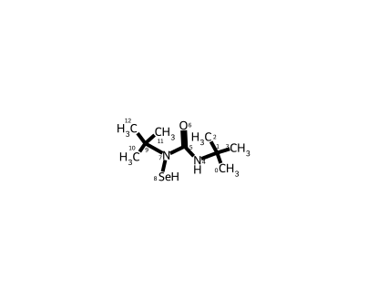 CC(C)(C)NC(=O)N([SeH])C(C)(C)C